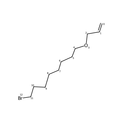 C=CCOCCCCCCCCBr